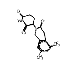 Cc1cc2c(c(C(F)(F)F)c1)CC(=O)N(C1CCC(=O)NC1=O)C2